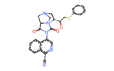 N#Cc1ncc(N2C(=O)C3CN4CC(C(=O)CSc5ccccc5)[N+]3(C4)C2=O)c2ccccc12